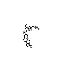 CCC(CON=C1C=C2CCC3C4CCC(=O)[C@@]4(C)CCC3[C@]2(C)CC1)n1cc(CN)nn1